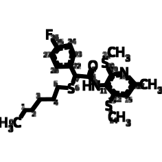 CCCCCCSC(C(=O)Nc1c(SC)cc(C)nc1SC)c1ccc(F)cc1